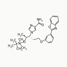 C[C@H](O[Si](C)(C)C(C)(C)C)[C@@H](CCOc1cccc(-c2nc3ccccc3o2)c1)n1cnc(C(N)=O)c1